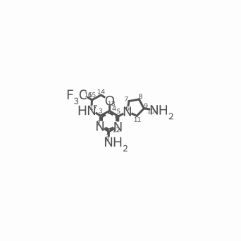 Nc1nc2c(c(N3CCC(N)C3)n1)OCC(C(F)(F)F)N2